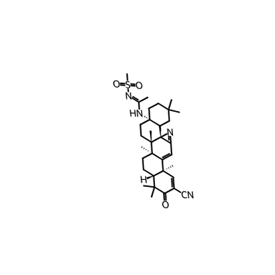 C/C(=N\S(C)(=O)=O)N[C@]12CCC(C)(C)CC1[C@@]13N=C1C=C1[C@@]4(C)C=C(C#N)C(=O)C(C)(C)[C@@H]4CC[C@@]1(C)[C@]3(C)CC2